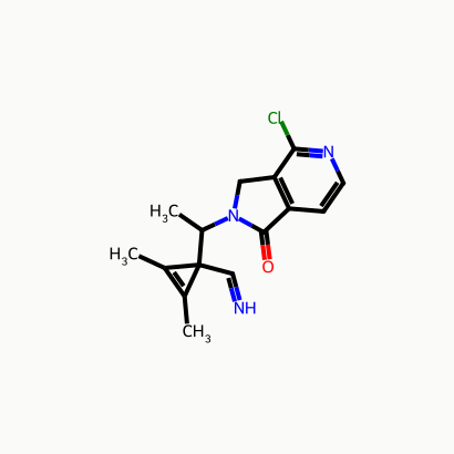 CC1=C(C)C1(C=N)C(C)N1Cc2c(ccnc2Cl)C1=O